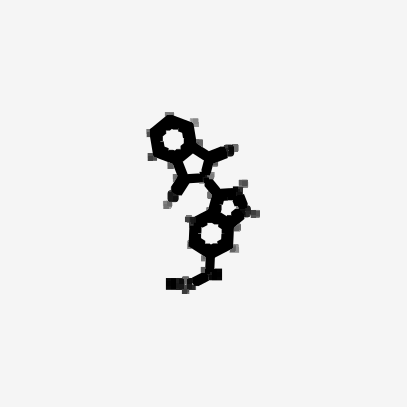 O=C(O)Nc1cnc2c(N3C(=O)c4ccccc4C3=O)noc2c1